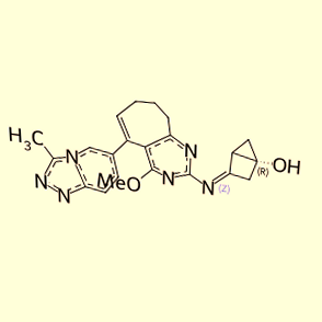 COc1nc(/N=C2/C[C@]3(O)CC23)nc2c1C(c1ccc3nnc(C)n3c1)=CCCC2